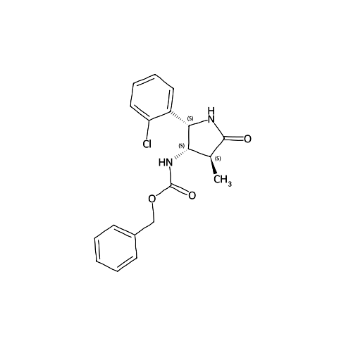 C[C@@H]1C(=O)N[C@@H](c2ccccc2Cl)[C@H]1NC(=O)OCc1ccccc1